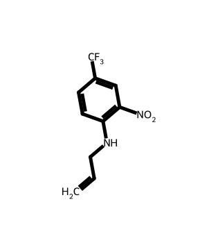 C=CCNc1ccc(C(F)(F)F)cc1[N+](=O)[O-]